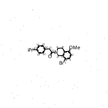 COc1ccc(Br)c2c1CCN(C(=O)Cc1ccc(C(C)C)cc1)C2